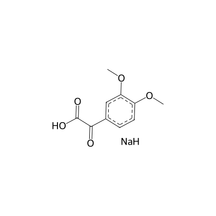 COc1ccc(C(=O)C(=O)O)cc1OC.[NaH]